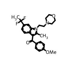 COc1ccc(C(=O)c2c(C)n(CCN3CCOCC3)c3cc(C(C)(F)F)ccc23)cc1